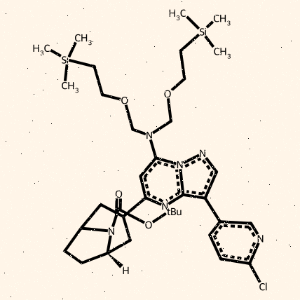 CC(C)(C)OC(=O)N1C2CC[C@H]1CC(c1cc(N(COCC[Si](C)(C)C)COCC[Si](C)(C)C)n3ncc(-c4ccc(Cl)nc4)c3n1)C2